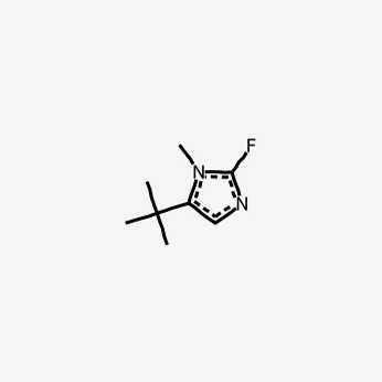 Cn1c(C(C)(C)C)cnc1F